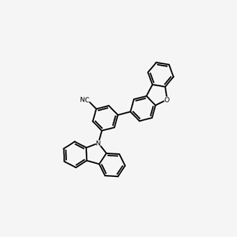 N#Cc1cc(-c2ccc3oc4ccccc4c3c2)cc(-n2c3ccccc3c3ccccc32)c1